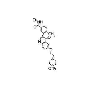 CCNC(=O)c1ccc(C)c(-n2cnc3ccc(OCCN4CCS(=O)(=O)CC4)cc3c2=O)c1